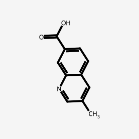 Cc1cnc2cc(C(=O)O)ccc2c1